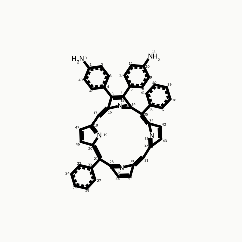 Nc1ccc(C2=C(c3ccc(N)cc3)C3=NC2=CC2=NC(=C(c4ccccc4)C4=NC(=CC5=NC(=C3c3ccccc3)C=C5)C=C4)C=C2)cc1